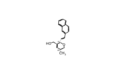 C[C@@H]1C=C(CO)[C@H](C=Cc2ccc3ccccc3c2)OC1